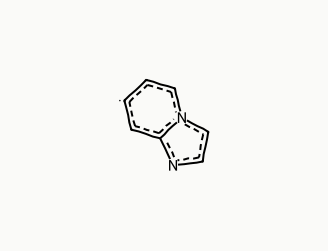 [c]1ccn2ccnc2c1